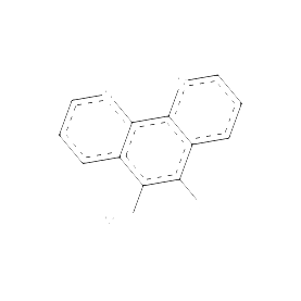 COc1c(O)c2cccnc2c2ncccc12